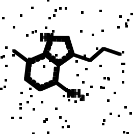 CCCc1c[nH]c2c(C)ccc(N)c12